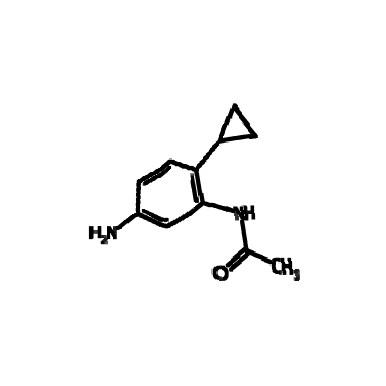 CC(=O)Nc1cc(N)ccc1C1CC1